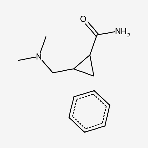 CN(C)CC1CC1C(N)=O.c1ccccc1